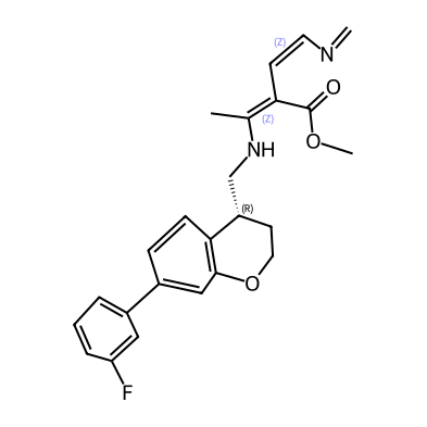 C=N/C=C\C(C(=O)OC)=C(/C)NC[C@@H]1CCOc2cc(-c3cccc(F)c3)ccc21